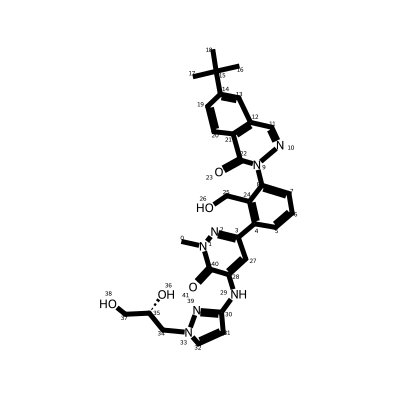 Cn1nc(-c2cccc(-n3ncc4cc(C(C)(C)C)ccc4c3=O)c2CO)cc(Nc2ccn(C[C@@H](O)CO)n2)c1=O